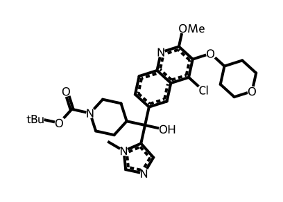 COc1nc2ccc(C(O)(c3cncn3C)C3CCN(C(=O)OC(C)(C)C)CC3)cc2c(Cl)c1OC1CCOCC1